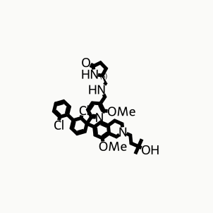 COc1cc(C2(c3ccc(CNC[C@@H]4CCC(=O)N4)c(OC)n3)C=CC=C(c3ccccc3Cl)C2Cl)cc2c1CN(CCC(C)(C)O)CC2